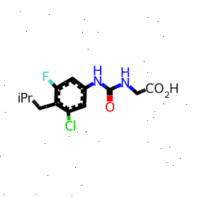 CC(C)Cc1c(F)cc(NC(=O)NCC(=O)O)cc1Cl